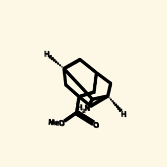 COC(=O)C12CC3C[C@H](C1)C(N)[C@@H](C3)C2